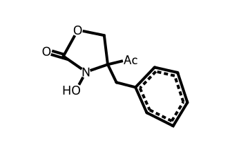 CC(=O)C1(Cc2ccccc2)COC(=O)N1O